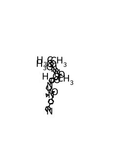 CC(C)(C)OC(=O)N1CCN(C(=O)C(C)(C)Oc2cccc(N3CCC[C@@H](C(=O)N(Cc4ccc(-c5cccnc5)cc4)C4CC4)C3)c2)CC1